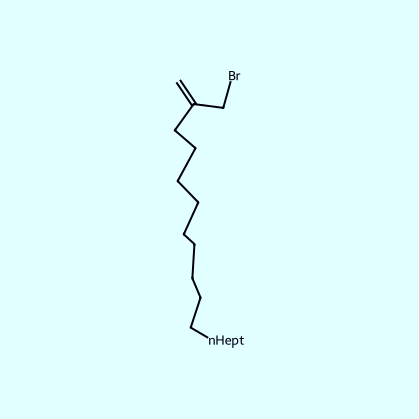 C=C(CBr)CCCCCCCCCCCCCCCC